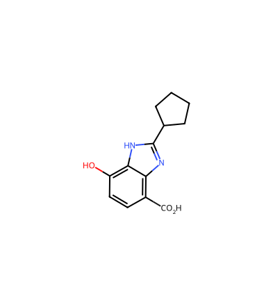 O=C(O)c1ccc(O)c2[nH]c(C3CCCC3)nc12